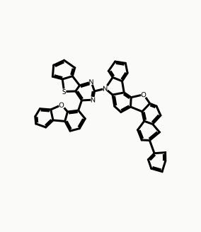 c1ccc(-c2ccc3c(ccc4oc5c(ccc6c5c5ccccc5n6-c5nc(-c6cccc7c6oc6ccccc67)c6sc7ccccc7c6n5)c43)c2)cc1